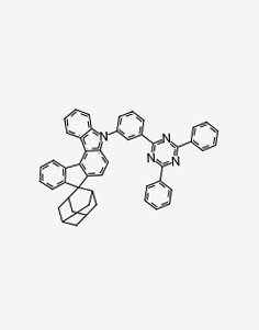 c1ccc(-c2nc(-c3ccccc3)nc(-c3cccc(-n4c5ccccc5c5c6c(ccc54)C4(c5ccccc5-6)C5CC6CC(C5)CC4C6)c3)n2)cc1